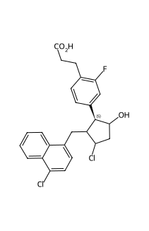 O=C(O)CCc1ccc([C@H]2C(O)CC(Cl)C2Cc2ccc(Cl)c3ccccc23)cc1F